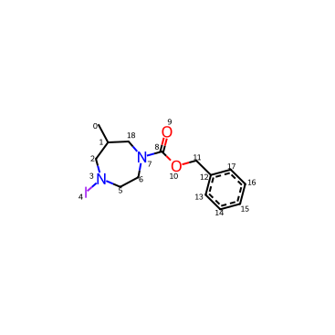 CC1CN(I)CCN(C(=O)OCc2ccccc2)C1